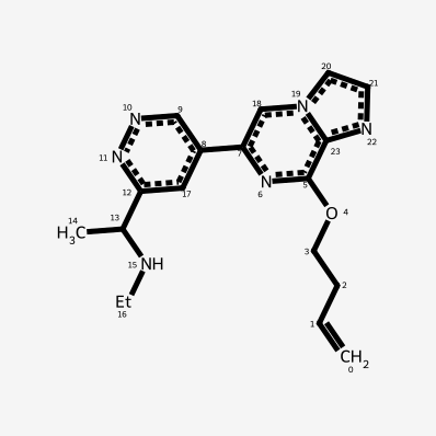 C=CCCOc1nc(-c2cnnc(C(C)NCC)c2)cn2ccnc12